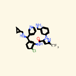 NCc1cccc(-n2nc(C(F)(F)F)cc2C(=O)Nc2cc(C(NCC3CC3)c3cccnc3)ccc2Cl)c1